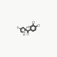 CCC[C@@]1(C(=O)c2ccc(Cl)c(Cl)c2)C[C@H](F)CN1